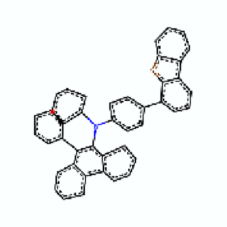 c1ccc(-c2c(N(c3ccccc3)c3ccc(-c4cccc5c4sc4ccccc45)cc3)c3ccccc3c3ccccc23)cc1